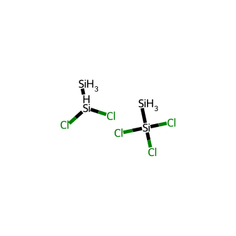 [SiH3][SiH](Cl)Cl.[SiH3][Si](Cl)(Cl)Cl